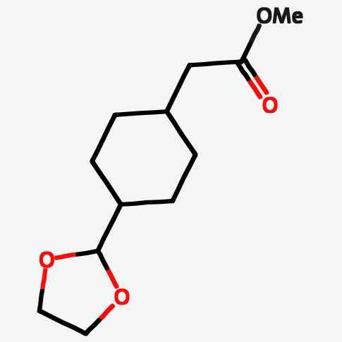 COC(=O)CC1CCC(C2OCCO2)CC1